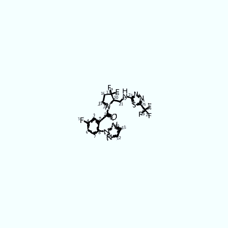 O=C(c1cc(F)ccc1-n1nccn1)N1CCC(F)(F)C1CNc1nnc(C(F)(F)F)s1